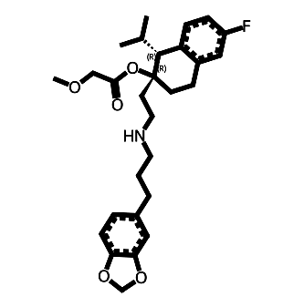 COCC(=O)O[C@@]1(CCNCCCc2ccc3c(c2)OCO3)CCc2cc(F)ccc2[C@H]1C(C)C